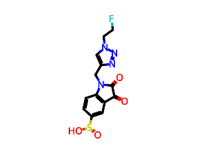 O=C1C(=O)N(Cc2cn(CCF)nn2)c2ccc(S(=O)O)cc21